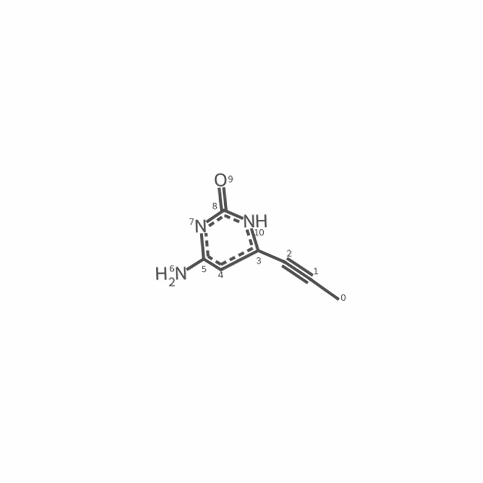 CC#Cc1cc(N)nc(=O)[nH]1